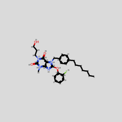 CCCCCCCc1ccc(Cn2c(Oc3ccccc3F)nc3c2c(=O)n(CCCO)c(=O)n3C)cc1